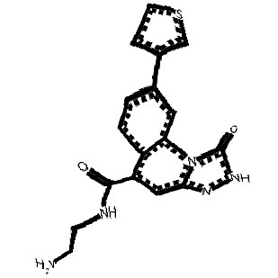 NCCNC(=O)c1cc2n[nH]c(=O)n2c2cc(-c3ccsc3)ccc12